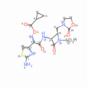 Nc1nc(/C(=N/OC(=O)C2CC2)C(=O)N[C@@H]2C(=O)N(S(=O)(=O)O)[C@@H]2CN2CCOC2=O)cs1